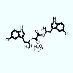 NC(Cc1c[nH]c2ccc(Cl)cc12)OC(=O)C(=O)OC(N)Cc1c[nH]c2ccc(Cl)cc12.O.O